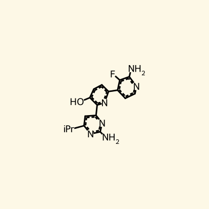 CC(C)c1cc(-c2nc(-c3ccnc(N)c3F)ccc2O)nc(N)n1